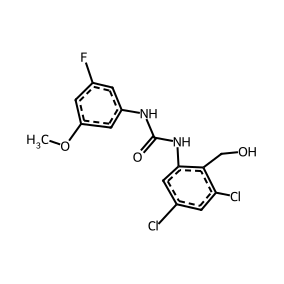 COc1cc(F)cc(NC(=O)Nc2cc(Cl)cc(Cl)c2CO)c1